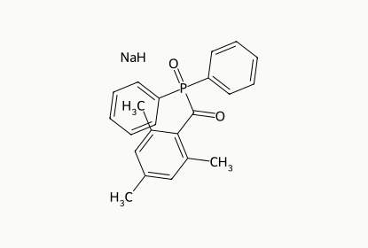 Cc1cc(C)c(C(=O)P(=O)(c2ccccc2)c2ccccc2)c(C)c1.[NaH]